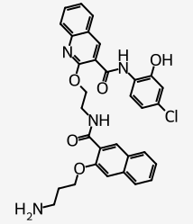 NCCCOc1cc2ccccc2cc1C(=O)NCCOc1nc2ccccc2cc1C(=O)Nc1ccc(Cl)cc1O